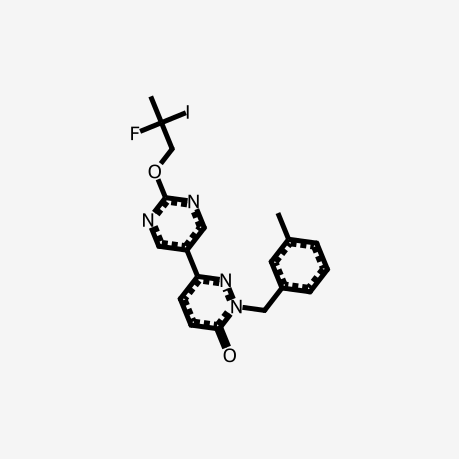 Cc1cccc(Cn2nc(-c3cnc(OCC(C)(F)I)nc3)ccc2=O)c1